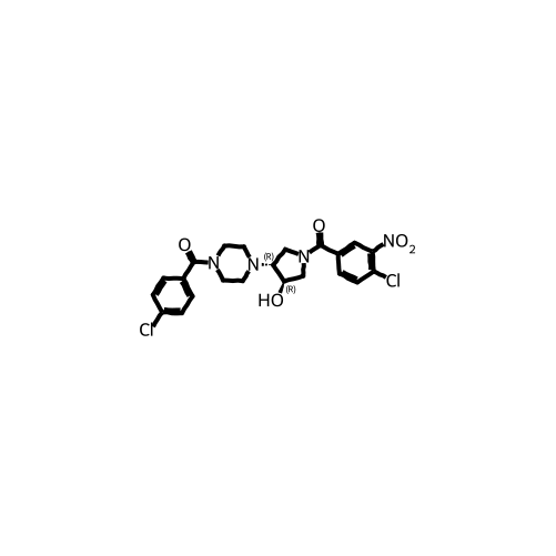 O=C(c1ccc(Cl)cc1)N1CCN([C@@H]2CN(C(=O)c3ccc(Cl)c([N+](=O)[O-])c3)C[C@H]2O)CC1